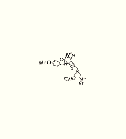 CCN(C)CCN(CC=O)Cc1cc2c(s1)n(Cc1ccc(OC)cc1)c(=O)n1ncnc21